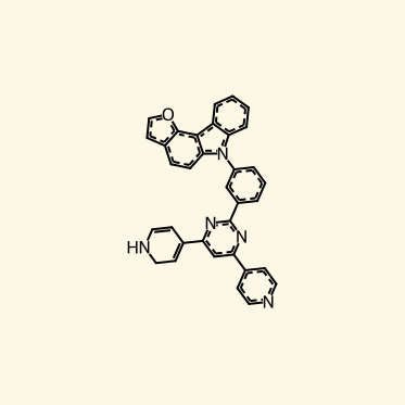 C1=CC(c2cc(-c3ccncc3)nc(-c3cccc(-n4c5ccccc5c5c6occc6ccc54)c3)n2)=CCN1